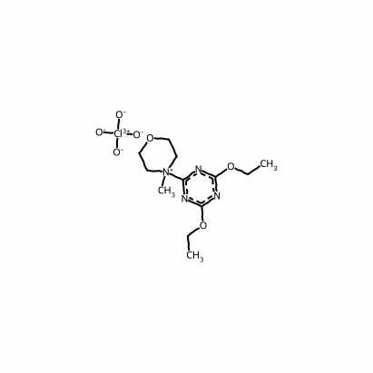 CCOc1nc(OCC)nc([N+]2(C)CCOCC2)n1.[O-][Cl+3]([O-])([O-])[O-]